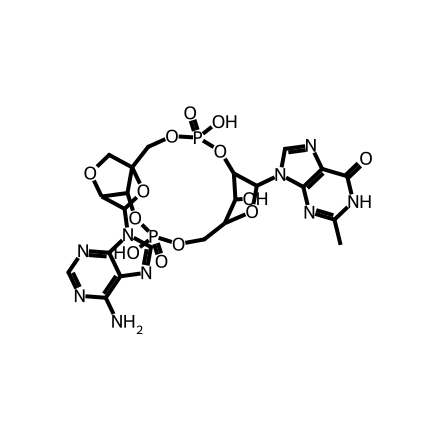 Cc1nc2c(ncn2C2OC3COP(=O)(O)OC4C5OCC4(COP(=O)(O)OC2C3O)OC5n2cnc3c(N)ncnc32)c(=O)[nH]1